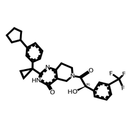 O=C([C@H](O)c1cccc(C(F)(F)F)c1)N1CCc2nc(C3(c4cccc(C5CCCC5)c4)CC3)[nH]c(=O)c2C1